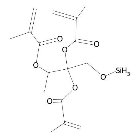 C=C(C)C(=O)OC(C)C(CO[SiH3])(OC(=O)C(=C)C)OC(=O)C(=C)C